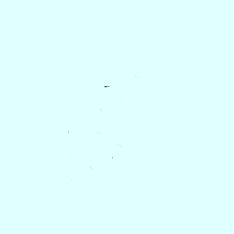 C=CC(=O)N1CCN(c2nc(=O)n(-c3c(C(C)C)nc(N)nc3C(C)C)c3nc(-c4ccccc4F)c(Cl)cc23)[C@@H](C)C1